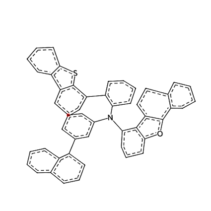 c1cc(-c2cccc3ccccc23)cc(N(c2ccccc2-c2cccc3c2sc2ccccc23)c2cccc3oc4c5ccccc5ccc4c23)c1